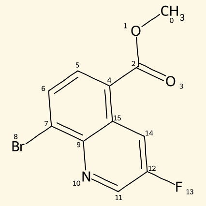 COC(=O)c1ccc(Br)c2ncc(F)cc12